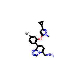 Cn1nc(C2CC2)cc1Oc1cc(C#N)ccc1-c1ccc(CN)n2cnnc12